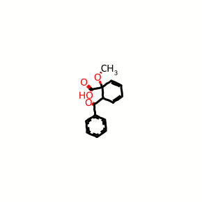 COC1(C(=O)O)C=CC=CC1C(=O)c1ccccc1